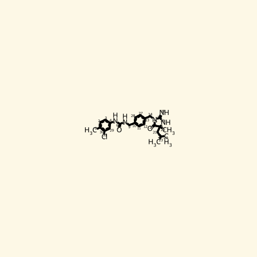 Cc1ccc(NC(=O)NCc2ccc(CN3C(=N)NC(C)(CC(C)C)C3=O)cc2)cc1Cl